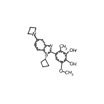 COc1cc(-c2nc3cc(N4CCC4)ccc3n2C2CCC2)c(C)c(O)c1O